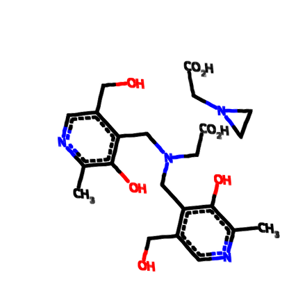 Cc1ncc(CO)c(CN(CC(=O)O)Cc2c(CO)cnc(C)c2O)c1O.O=C(O)CN1CC1